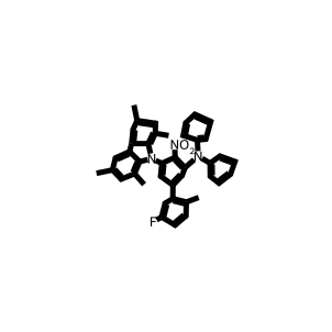 Cc1cc(C)c2c(c1)c1cc(C)cc(C)c1n2-c1cc(-c2cc(F)ccc2C)cc(N(c2ccccc2)c2ccccc2)c1[N+](=O)[O-]